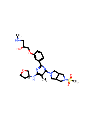 CNCC(O)COc1cccc(-c2nc(N[C@@H]3CCOC3)c(C)c(N3CC4CN(S(C)(=O)=O)CC4C3)n2)c1